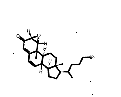 CC(C)CCCC(C)[C@H]1CC[C@H]2[C@@H]3C=CC4=CC(=O)[C@@H]5O[C@@H]5[C@]4(C)[C@H]3CC[C@]12C